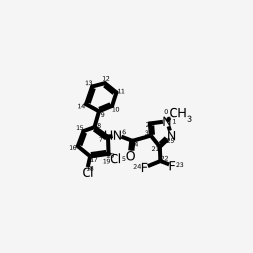 Cn1cc(C(=O)Nc2c(-c3ccccc3)ccc(Cl)c2Cl)c(C(F)F)n1